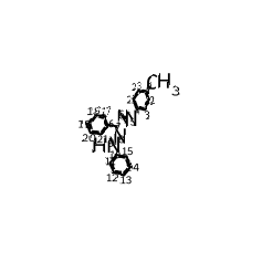 Cc1ccc(N=NC(=NNc2ccccc2)c2ccccc2)cc1